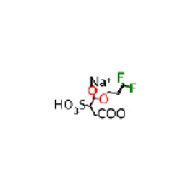 O=C([O-])CC(C(=O)OCC=C(F)F)S(=O)(=O)O.[Na+]